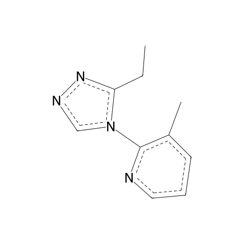 CCc1nncn1-c1ncccc1C